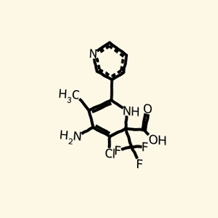 CC1=C(c2cccnc2)NC(C(=O)O)(C(F)(F)F)C(Cl)=C1N